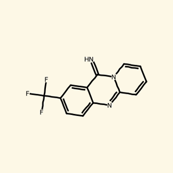 N=c1c2cc(C(F)(F)F)ccc2nc2ccccn12